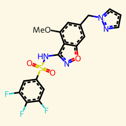 COc1cc(Cn2cccn2)cc2onc(NS(=O)(=O)c3cc(F)c(F)c(F)c3)c12